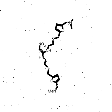 CNCc1ccc(CSCCNC(=C[N+](=O)[O-])NCCSCc2ccc(CN(C)C)o2)o1